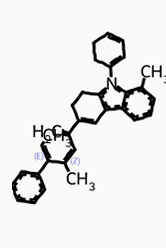 C=C(/C=C(C)\C(=C/C)c1ccccc1)C1=Cc2c(n(C3=CC=CCC3)c3c(C)cccc23)CC1